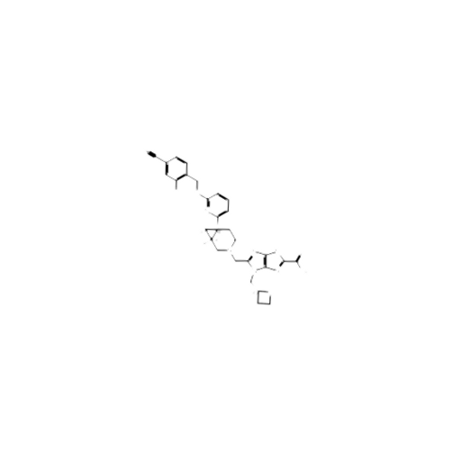 C[C@H]1[C@H]2CN(Cc3nc4[nH]c(C(=O)O)nc4n3C[C@@H]3CCO3)CC[C@]21c1cccc(OCc2ccc(C#N)cc2F)n1